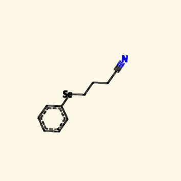 N#CCCC[Se]c1ccccc1